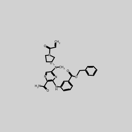 C=CC(=O)N1CC[C@@H](N(C)c2cnc(C(N)=O)c(Nc3cccc(C(=O)OCc4ccccc4)c3)n2)C1